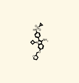 Nc1c(-c2ccc(NS(=O)(=O)C3CC3)cc2)n(C2CCC2)c2cc(OCC3CCCO3)ccc12